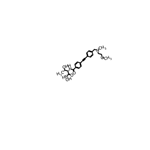 COCCN(C)Cc1ccc(C#Cc2ccc(C(=O)N[C@H](C(=O)NO)[C@@H](C)O)cc2)cc1